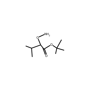 CC(C)C(ON)C(=O)OC(C)(C)C